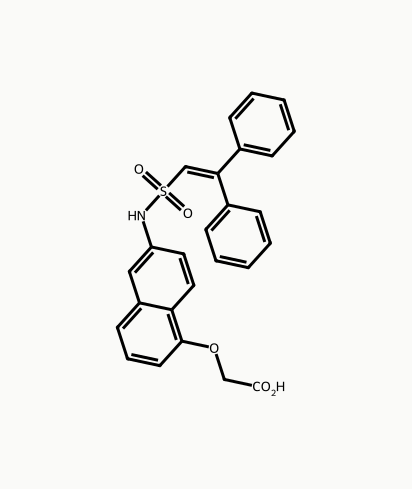 O=C(O)COc1cccc2cc(NS(=O)(=O)C=C(c3ccccc3)c3ccccc3)ccc12